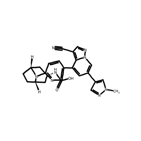 Cn1cc(-c2cc(-c3ccc(N4[C@@H]5CC[C@H]4C[C@@H](NC(=O)O)C5)nc3)c3c(C#N)cnn3c2)cn1